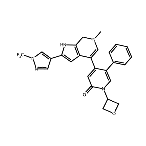 CN1C=C(c2cc(=O)n(C3COC3)cc2-c2ccccc2)c2cc(-c3cnn(C(F)(F)F)c3)[nH]c2C1